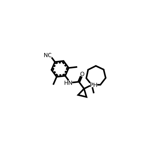 Cc1cc(C#N)cc(C)c1NC(=O)C1([PH]2(C)CCCCCC2)CC1